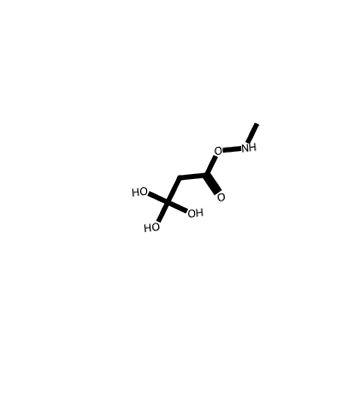 CNOC(=O)CC(O)(O)O